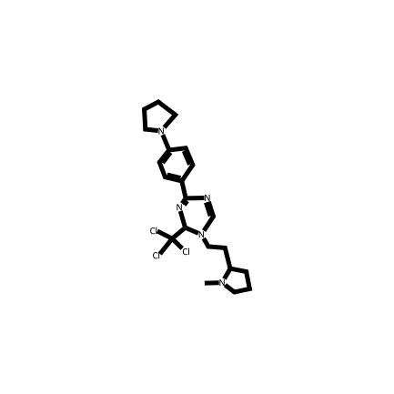 CN1CCCC1CCN1C=NC(c2ccc(N3CCCC3)cc2)=NC1C(Cl)(Cl)Cl